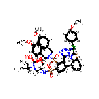 COc1ccc(CN(Cc2ccc(OC)cc2)S(=O)(=O)c2c(S(=O)(=O)N[C@@H](CO)CN(C(=O)O)C(C)(C)C)ccc(-c3cccc4sc(Br)nc34)c2-c2nnn(Cc3ccc(OC)cc3)n2)cc1